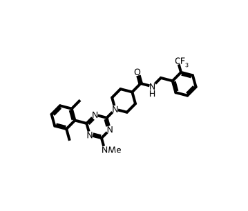 CNc1nc(-c2c(C)cccc2C)nc(N2CCC(C(=O)NCc3ccccc3C(F)(F)F)CC2)n1